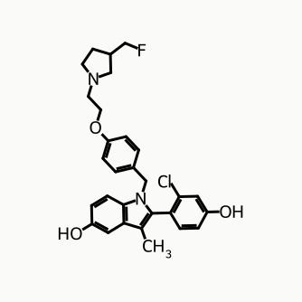 Cc1c(-c2ccc(O)cc2Cl)n(Cc2ccc(OCCN3CCC(CF)C3)cc2)c2ccc(O)cc12